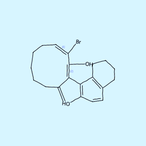 C=C1CCCCC/C=C(Br)\C(O)=C/1c1c(O)ccc2c1CCCC2